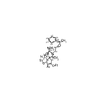 CCOC1=C(C(C)=O)C(OCC)=C(C)C(C)([C@@H](C)N(CCO[C@@H](C)c2ccccc2)C(N)=O)C1